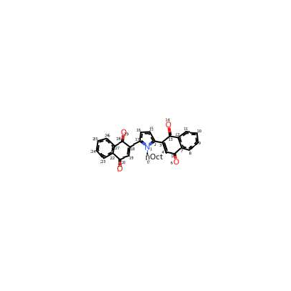 CCCCCCCCn1c(C2=CC(=O)c3ccccc3C2=O)ccc1C1=CC(=O)c2ccccc2C1=O